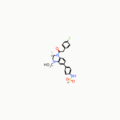 C[C@H]1CN(C(=O)O)c2cc(-c3ccc(NS(C)(=O)=O)cc3)ccc2N1C(=O)Cc1ccc(F)cc1